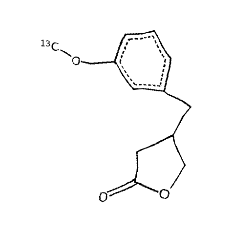 [13CH3]Oc1cccc(CC2COC(=O)C2)c1